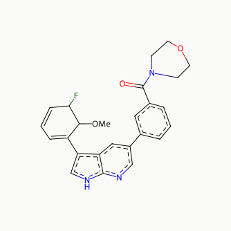 COC1C(c2c[nH]c3ncc(-c4cccc(C(=O)N5CCOCC5)c4)cc23)=CC=CC1F